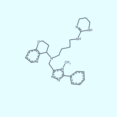 Cn1c(CN(CCCCNC2=NCCCN2)C2CCOc3cccnc32)nnc1-c1ccccc1